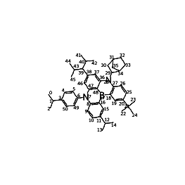 CC(C)c1ccc(N2c3ccc(C(C)C)cc3B3c4cc(C(C)(C)C)ccc4N(C4CC5CCC4C5)c4cc(C(C(C)C)C(C)C)cc2c43)cc1